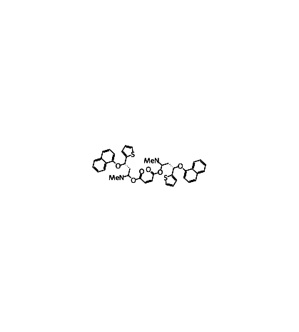 CNC(C[C@H](Oc1cccc2ccccc12)c1cccs1)OC(=O)/C=C\C(=O)OC(C[C@H](Oc1cccc2ccccc12)c1cccs1)NC